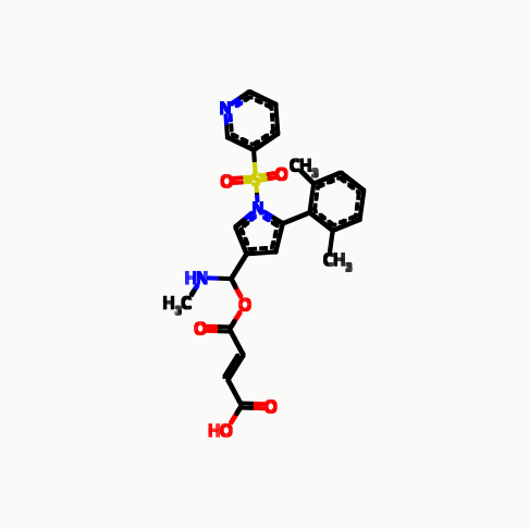 CNC(OC(=O)/C=C/C(=O)O)c1cc(-c2c(C)cccc2C)n(S(=O)(=O)c2cccnc2)c1